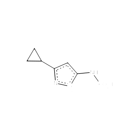 O=C(O)Nc1cc(C2CC2)no1